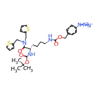 CC(C)(C)OC(=O)N[C@@H](CCCCNC(=O)OCc1ccc(N=[N+]=[N-])cc1)C(=O)N(Cc1cccs1)Cc1cccs1